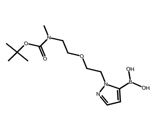 CN(CCOCCn1nccc1B(O)O)C(=O)OC(C)(C)C